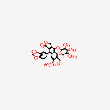 C[C@@H]1OC(Oc2c3c(c(-c4ccc5c(c4)OCO5)c4cc(CO)c(CO)cc24)C(=O)OC3)[C@@H](O)[C@H](O)[C@@H]1O